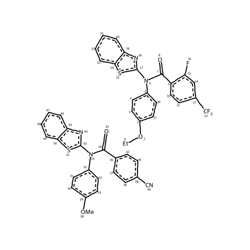 CCOc1ccc(N(C(=O)c2ccc(C(F)(F)F)cc2F)c2nc3ccccc3s2)cc1.COc1ccc(N(C(=O)c2ccc(C#N)cc2)c2nc3ccccc3s2)cc1